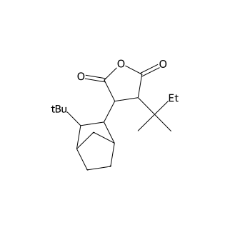 CCC(C)(C)C1C(=O)OC(=O)C1C1C2CCC(C2)C1C(C)(C)C